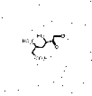 C=CC(=O)C(O)CC(CC(=O)O)C(=O)O